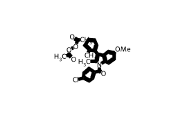 CC(=O)OOC(C)=O.COc1ccc2c(c1)c(-c1ccccc1C)c(C)n2C(=O)c1ccc(Cl)cc1